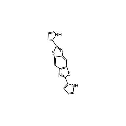 c1c[nH]c(-c2nc3cc4sc(-c5ccc[nH]5)nc4cc3s2)c1